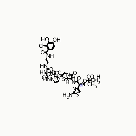 CC(C)(O/N=C(\C(=O)NC1C(=O)N2C[C@@](C(=O)O)(N3CCN(NS(=O)(=O)NC(=O)NCCNC(=O)c4ccc(O)c(O)c4Cl)[S+]3[O-])S[C@H]12)c1csc(N)n1)C(=O)O